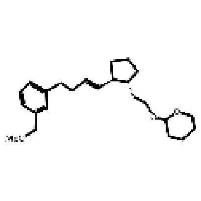 COCc1cccc(CCC=C[C@H]2CCC[C@@H]2CCOC2CCCCO2)c1